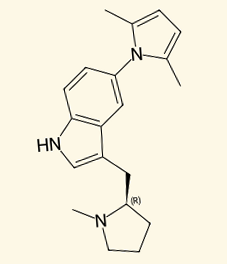 Cc1ccc(C)n1-c1ccc2[nH]cc(C[C@H]3CCCN3C)c2c1